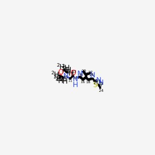 [2H]C1([2H])OC([2H])([2H])C([2H])([2H])N(CC(=O)Nc2cc3cc(-c4nnc(C)s4)ncc3cn2)C1([2H])[2H]